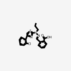 CCCN(N=Cc1ccccc1C(=O)O)c1nc(-c2ccccc2Cl)cs1